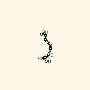 O=C(O)c1cccc(-c2cccc(COCCOc3ccc(CCNC[C@H](O)c4ccc(O)c(CO)c4)cc3)c2)c1